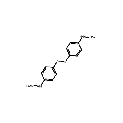 CCCCCCCCCCNc1ccc(SSc2ccc(NCCCCCCCCCC)cc2)cc1